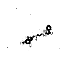 COc1cc(C(F)(F)F)cc2[nH]c(CNCCCNc3cc(=O)c4ccccc4[nH]3)cc12